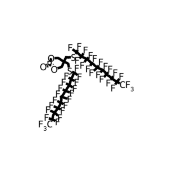 O=[P]1OCC(CSC(F)(F)C(F)(F)C(F)(F)C(F)(F)C(F)(F)C(F)(F)C(F)(F)C(F)(F)C(F)(F)C(F)(F)F)(CSC(F)(F)C(F)(F)C(F)(F)C(F)(F)C(F)(F)C(F)(F)C(F)(F)C(F)(F)C(F)(F)C(F)(F)F)CO1